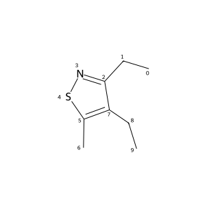 CCc1nsc(C)c1CC